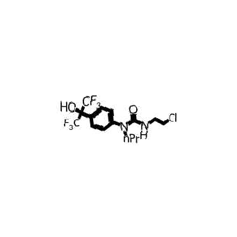 CCCN(C(=O)NCCCl)c1ccc(C(O)(C(F)(F)F)C(F)(F)F)cc1